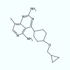 Nc1nc(C2CCC(OCC3CC3)CC2)c2c(N)ncc(I)c2n1